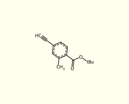 C#Cc1ccc(C(=O)OC(C)(C)C)c(C)c1